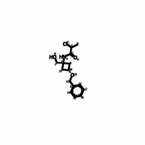 CC(Cl)C(=O)N[C@]1(CO)C[C@H](OCc2ccccc2)C1